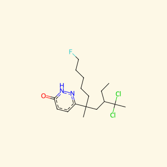 CCC(CC(C)(CCCCCF)c1ccc(=O)[nH]n1)C(C)(Cl)Cl